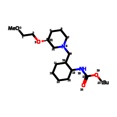 COCCO[C@@H]1CCCN(CC2CCCCC2NC(=O)OC(C)(C)C)C1